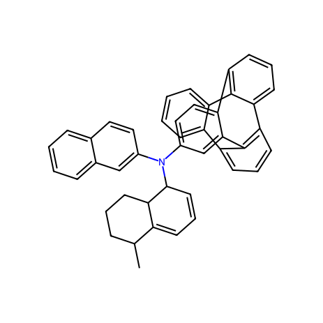 CC1CCCC2C1=CC=CC2N(c1ccc2c(c1)-c1c3cccc1-c1cccc-2c1-c1ccccc1-3)c1ccc2ccccc2c1